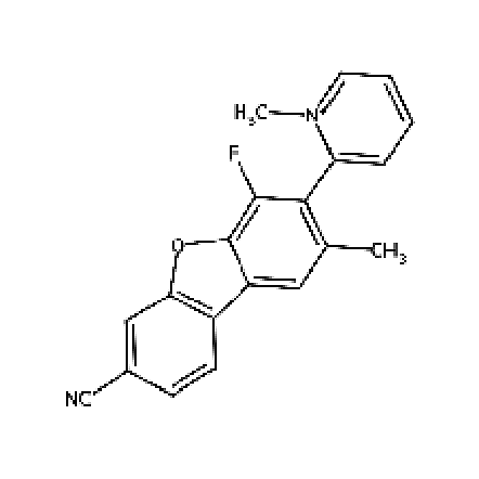 Cc1cc2c(oc3cc(C#N)ccc32)c(F)c1-c1cccc[n+]1C